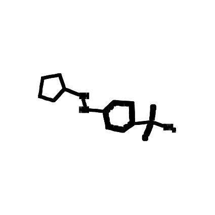 NS(=O)(=O)c1ccc(NNC2CCCC2)cc1